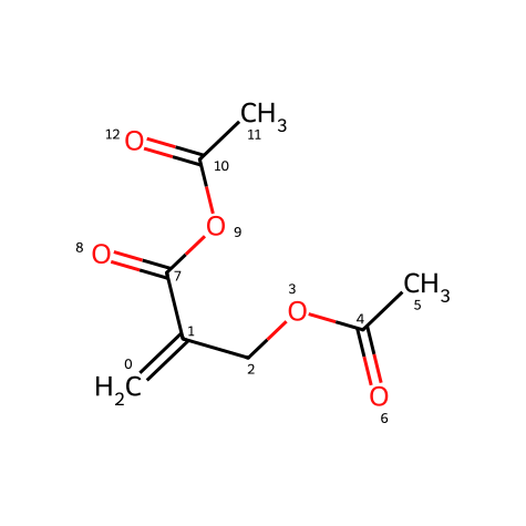 C=C(COC(C)=O)C(=O)OC(C)=O